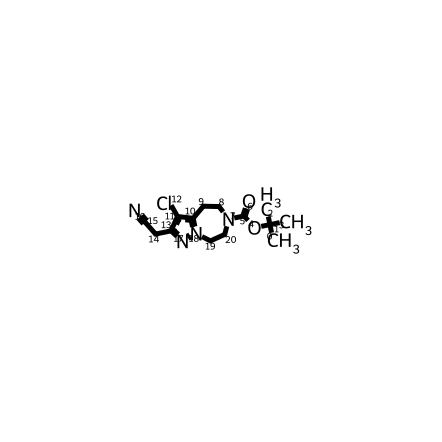 CC(C)(C)OC(=O)N1CCc2c(Cl)c(CC#N)nn2CC1